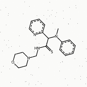 CN(c1ccccc1)C(C(=S)NCN1CCOCC1)c1ccccn1